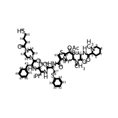 CC[C@H](C)[C@H](NC(=O)C1CCCCN1C)C(=O)N(C)[C@H](C[C@@H](OC(C)=O)c1nc(C(=O)N[C@@H](CSc2ccccc2)C(=O)N[C@H](C(=O)N[C@@H](Cc2ccccc2)C(=O)N2CCN(C(=O)CCCS)CC2)C(C)C)cs1)C(C)C